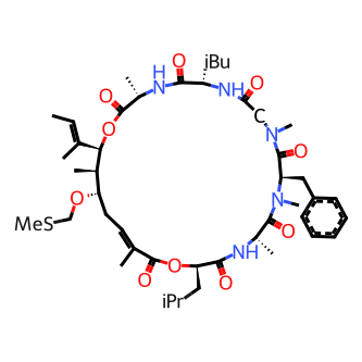 C/C=C(\C)[C@H]1OC(=O)[C@H](C)NC(=O)[C@H](C(C)CC)NC(=O)CN(C)C(=O)[C@@H](Cc2ccccc2)N(C)C(=O)[C@H](C)NC(=O)[C@@H](CC(C)C)OC(=O)/C(C)=C/C[C@H](OCSC)[C@H]1C